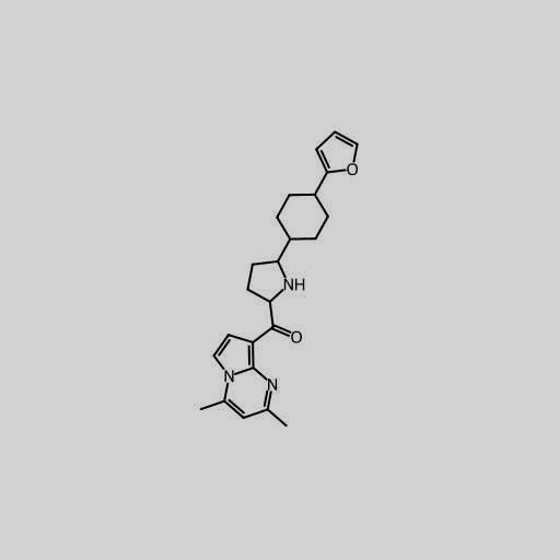 Cc1cc(C)n2ccc(C(=O)C3CCC(C4CCC(c5ccco5)CC4)N3)c2n1